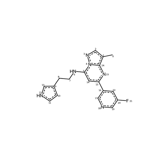 Cc1cnn2c(NCCc3cc[nH]c3)cc(-c3cncc(F)c3)nc12